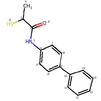 CC(S)C(=O)Nc1ccc(-c2ccccc2)cc1